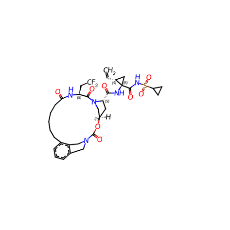 C=C[C@@H]1C[C@]1(NC(=O)[C@@H]1C[C@@H]2CN1C(=O)[C@H](CC(F)(F)F)NC(=O)CCCCCc1cccc3c1CN(C3)C(=O)O2)C(=O)NS(=O)(=O)C1CC1